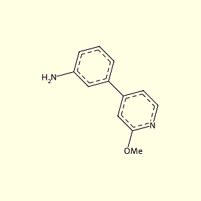 COc1cc(-c2cccc(N)c2)ccn1